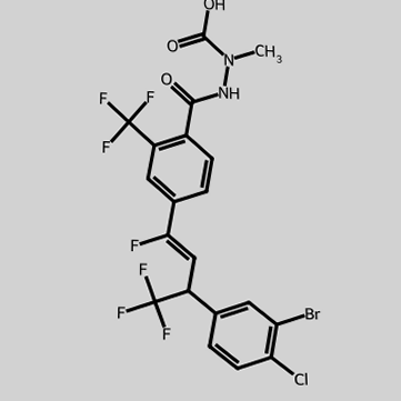 CN(NC(=O)c1ccc(/C(F)=C/C(c2ccc(Cl)c(Br)c2)C(F)(F)F)cc1C(F)(F)F)C(=O)O